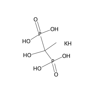 CC(O)(P(=O)(O)O)P(=O)(O)O.[KH]